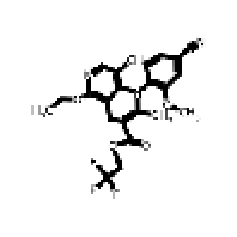 CCOc1ncc(C)c2c1CC(C(=O)OCC(F)(F)F)=C(C)N2c1ccc(C#N)cc1OC